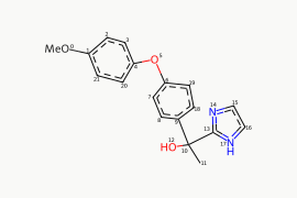 COc1ccc(Oc2ccc(C(C)(O)c3ncc[nH]3)cc2)cc1